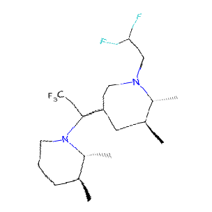 C[C@@H]1[C@@H](C)CC(C(N2CCC[C@H](C)[C@H]2C)C(F)(F)F)CN1CC(F)F